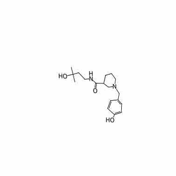 CC(C)(O)CCNC(=O)C1CCCN(Cc2ccc(O)cc2)C1